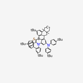 CC(C)(C)c1ccc(N(c2ccc(C(C)(C)C)cc2)c2cc3c4c(c2)N(c2ccc(C(C)(C)C)cc2-c2ccccc2)c2c(sc5cc(C(C)(C)C)ccc25)B4c2cc(C(C)(C)C)cc4c2C3CC2(C)CCCCC42C)cc1